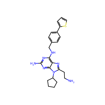 NCCc1nc2c(NCc3ccc(-c4cccs4)cc3)nc(N)nc2n1C1CCCC1